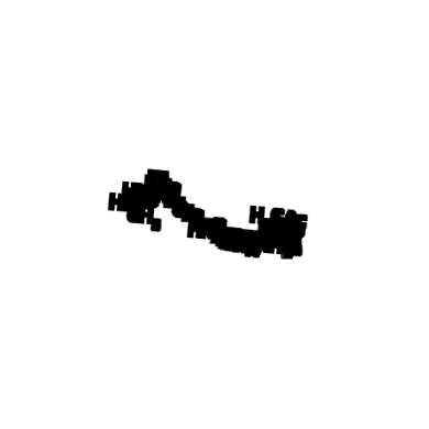 CC(=O)c1c(C)c2cnc(Nc3ccc(N4CCN(CC(=O)NCCOCCOCCC(=O)Nc5ccccc5C(=O)Nc5cc(C)[nH]n5)CC4)cn3)nc2n(C2CCCC2)c1=O